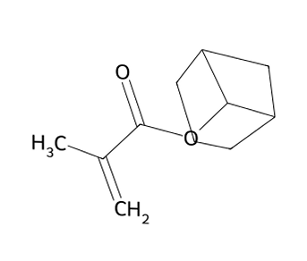 C=C(C)C(=O)OC1C2CCCC1C2